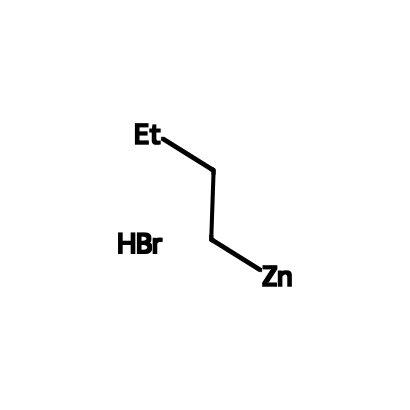 Br.CCC[CH2][Zn]